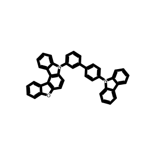 c1cc(-c2ccc(-n3c4ccccc4c4ccccc43)cc2)cc(-n2c3ccccc3c3c4c(ccc32)oc2ccccc24)c1